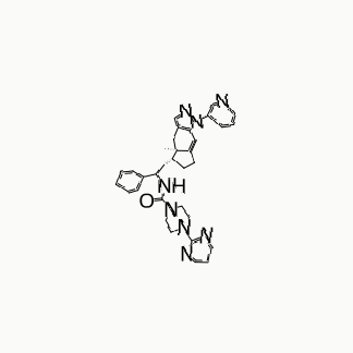 C[C@]12Cc3cnn(-c4cccnc4)c3C=C1CC[C@@H]2CC(NC(=O)N1CCN(c2ncccn2)CC1)c1ccccc1